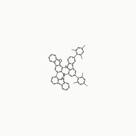 Cc1cc(C)c(-c2ccc3c(c2)c2cc(-c4c(C)cc(C)cc4C)cc4c2n3-c2c3c(cc5c2oc2ccccc25)-c2cccc5c6ccccc6n(c25)B34)c(C)c1